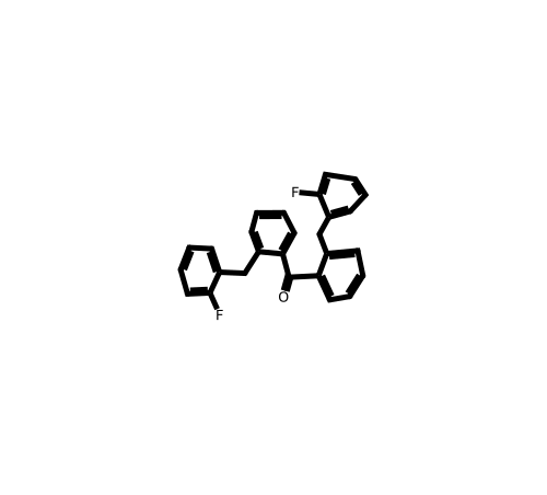 O=C(c1ccccc1Cc1ccccc1F)c1ccccc1Cc1ccccc1F